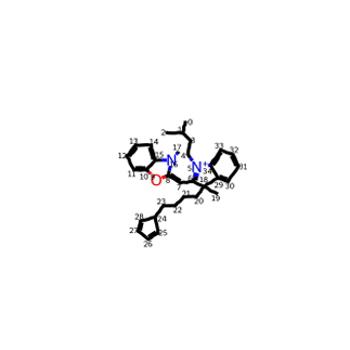 CC(C)CC[N+]1=C(/C=C2/Oc3ccccc3N2C)C(C)(CCCCC2C=CC=C2)c2ccccc21